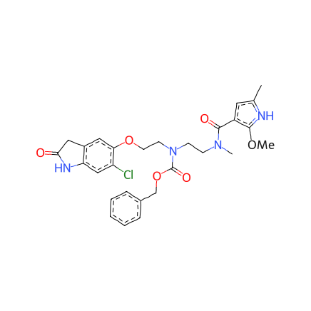 COc1[nH]c(C)cc1C(=O)N(C)CCN(CCOc1cc2c(cc1Cl)NC(=O)C2)C(=O)OCc1ccccc1